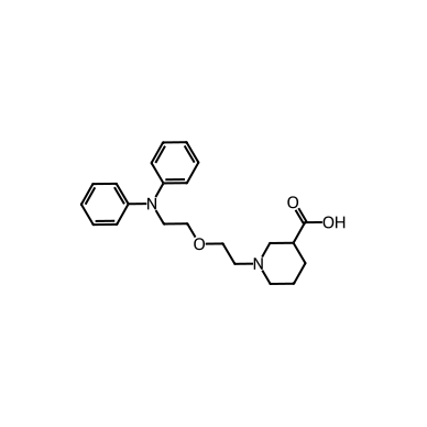 O=C(O)C1CCCN(CCOCCN(c2ccccc2)c2ccccc2)C1